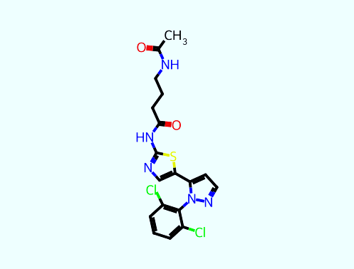 CC(=O)NCCCC(=O)Nc1ncc(-c2ccnn2-c2c(Cl)cccc2Cl)s1